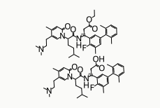 CCOC(=O)C[C@H](NC(=O)C(CCC(C)C)n1cc(CCN(C)C)c(C)cc1=O)c1cc(-c2c(C)cccc2C)cc(C)c1F.Cc1cc(=O)n(C(CCC(C)C)C(=O)N[C@@H](CC(=O)O)c2cc(-c3c(C)cccc3C)cc(C)c2F)cc1CCN(C)C